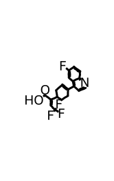 O=C(O)/C(=C/C(F)(F)F)C1CC=C(c2ccnc3ccc(F)cc23)CC1